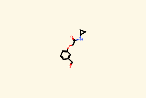 O=Cc1cccc(OCC(=O)NC2CC2)c1